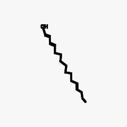 CCCC=CCCCCCCCC=CC=CO